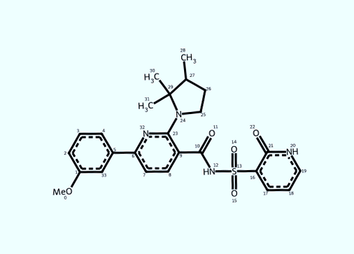 COc1cccc(-c2ccc(C(=O)NS(=O)(=O)c3ccc[nH]c3=O)c(N3CCC(C)C3(C)C)n2)c1